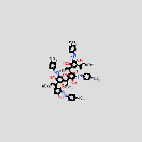 CCCCCCCCCCCC(C)c1cc(C(CCCCCCCCCCC)c2cc(C(CCCCCCCCCCC)c3cc(C(CCCCCCCCCCC)c4ccc(O)c(N=Nc5ccc([N+](=O)[O-])cc5)c4O)c(O)c(N=Nc4ccc([N+](=O)[O-])cc4)c3O)c(O)c(N=Nc3ccc([N+](=O)[O-])cc3)c2O)c(O)c(N=Nc2ccc([N+](=O)[O-])cc2)c1O